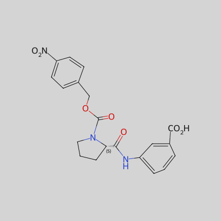 O=C(O)c1cccc(NC(=O)[C@@H]2CCCN2C(=O)OCc2ccc([N+](=O)[O-])cc2)c1